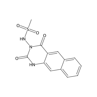 CS(=O)(=O)Nn1c(=O)[nH]c2cc3ccccc3cc2c1=O